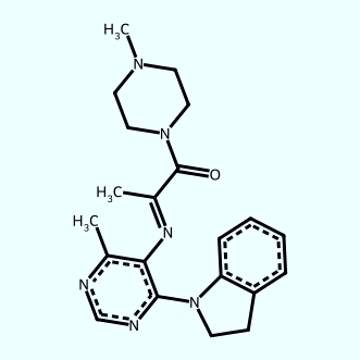 C/C(=N\c1c(C)ncnc1N1CCc2ccccc21)C(=O)N1CCN(C)CC1